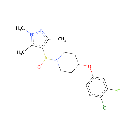 Cc1nn(C)c(C)c1[S+]([O-])N1CCC(Oc2ccc(Cl)c(F)c2)CC1